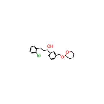 O[C@@H](CCc1ccccc1Br)c1cccc(COC2CCCCO2)c1